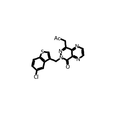 CC(=O)Cc1nn(Cc2csc3ccc(Cl)cc23)c(=O)c2nccnc12